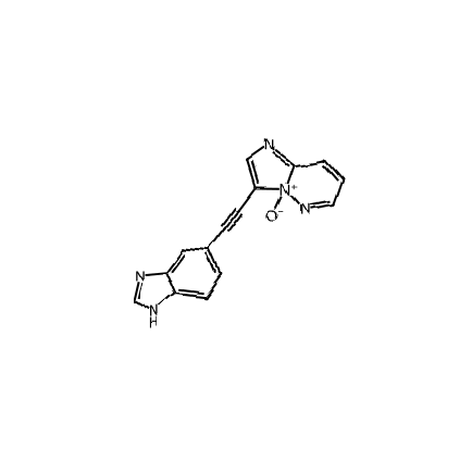 [O-][N+]12N=CC=CC1=NC=C2C#Cc1ccc2[nH]cnc2c1